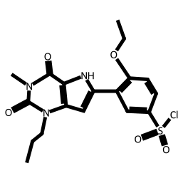 CCCn1c(=O)n(C)c(=O)c2[nH]c(-c3cc(S(=O)(=O)Cl)ccc3OCC)cc21